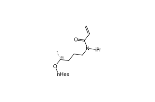 C=CC(=O)N(CCC[C@@H](C)OCCCCCC)C(C)C